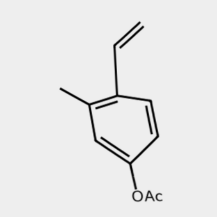 C=Cc1ccc(OC(C)=O)cc1C